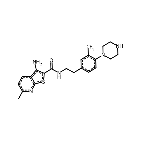 Cc1ccc2c(N)c(C(=O)NCCc3ccc(N4CCNCC4)c(C(F)(F)F)c3)sc2n1